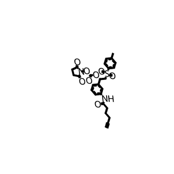 C#CCCCC(=O)Nc1cccc(C(CS(=O)(=O)c2ccc(C)cc2)OC(=O)ON2C(=O)CCC2=O)c1